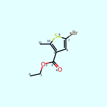 CCOC(=O)c1cc(Br)sc1C